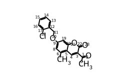 CC(=O)c1cc2c(C)cc(OCc3ccccc3Cl)cc2oc1=O